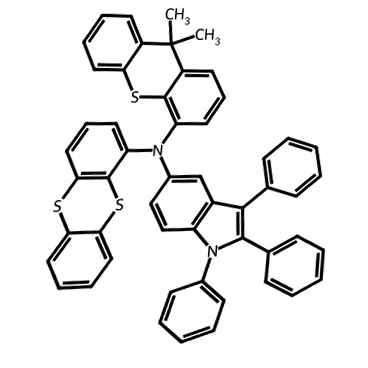 CC1(C)c2ccccc2Sc2c(N(c3ccc4c(c3)c(-c3ccccc3)c(-c3ccccc3)n4-c3ccccc3)c3cccc4c3Sc3ccccc3S4)cccc21